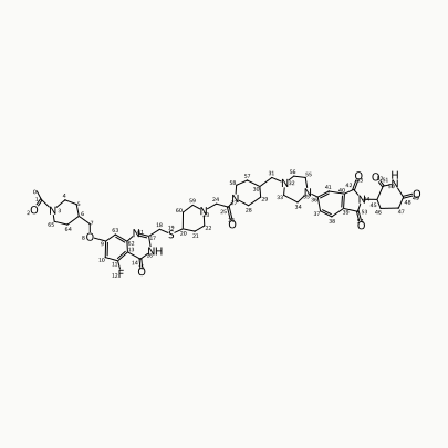 CC(=O)N1CCC(COc2cc(F)c3c(=O)[nH]c(CSC4CCN(CC(=O)N5CCC(CN6CCN(c7ccc8c(c7)C(=O)N(C7CCC(=O)NC7=O)C8=O)CC6)CC5)CC4)nc3c2)CC1